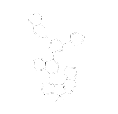 CC1(C)c2cccc(-c3ccc(-c4nc(-c5ccccc5)cc(-c5ccc6ccccc6c5)n4)c4ccccc34)c2-c2c1ccc1ccccc21